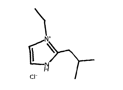 CC[n+]1cc[nH]c1CC(C)C.[Cl-]